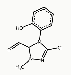 CN1N=C(Cl)N(c2ccccc2O)C1C=O